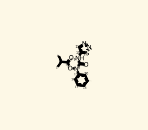 CC(C)C(=O)ON(C(=O)Nc1cnns1)c1ccccc1